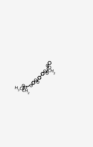 C=C(C)C(=O)OCCCOc1ccc(OC(=O)c2ccc(-c3ccc(OC(=O)C(=C)CC(=O)OC4CCCCC4)cc3)cc2)cc1